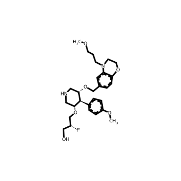 COCCCN1CCOc2ccc(CO[C@H]3CNC[C@@H](OC[C@H](F)CO)[C@@H]3c3ccc(OC)cc3)cc21